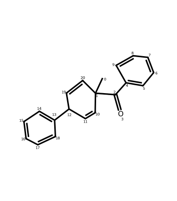 CC1(C(=O)c2ccccc2)C=CC(c2ccccc2)C=C1